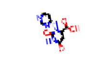 O=C(O)c1cc(=O)[nH]c(=O)[nH]1.c1cncnc1